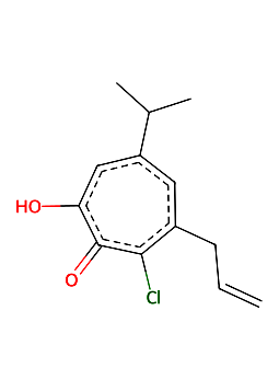 C=CCc1cc(C(C)C)cc(O)c(=O)c1Cl